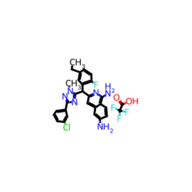 CCc1ccc(F)c(C(c2cc3cc(N)ccc3c(N)n2)c2nc(-c3cccc(Cl)c3)nn2C)c1.O=C(O)C(F)(F)F